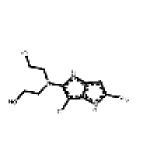 Nc1cc2[nH]c(N(CCO)CCO)c(Cl)c2[nH]1